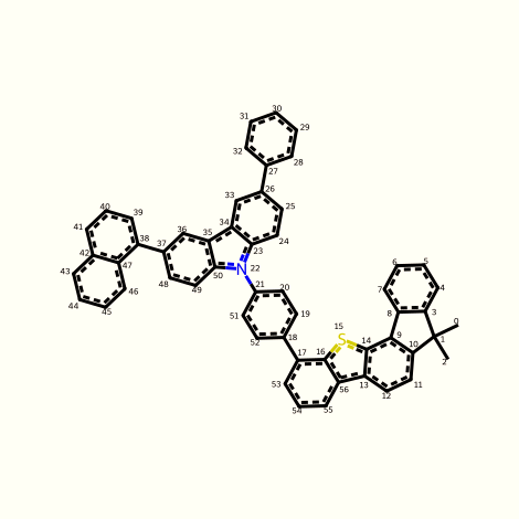 CC1(C)c2ccccc2-c2c1ccc1c2sc2c(-c3ccc(-n4c5ccc(-c6ccccc6)cc5c5cc(-c6cccc7ccccc67)ccc54)cc3)cccc21